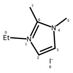 CC[n+]1ccn(C)c1C.[I-]